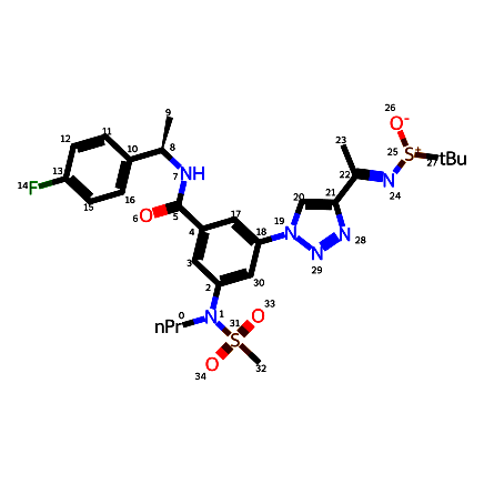 CCCN(c1cc(C(=O)N[C@H](C)c2ccc(F)cc2)cc(-n2cc(/C(C)=N/[S+]([O-])C(C)(C)C)nn2)c1)S(C)(=O)=O